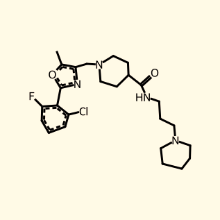 Cc1oc(-c2c(F)cccc2Cl)nc1CN1CCC(C(=O)NCCCN2CCCCC2)CC1